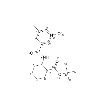 Cc1cc(C(=O)NC2CCCCN2C(=O)OC(C)(C)C)c[n+]([O-])c1